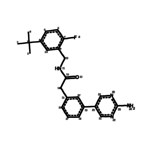 CC(C)(C)c1ccc(F)c(CNC(=O)Cc2cccc(-c3cnc(N)nc3)c2)c1